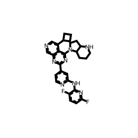 Fc1ccc(F)c(Nc2cc(-c3nc(N4CCC5NCCCC54)c4c(C5CCC5)cncc4n3)ccn2)n1